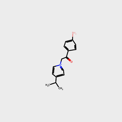 Bc1ccc(C(=O)C[n+]2ccc(C(C)C)cc2)cc1